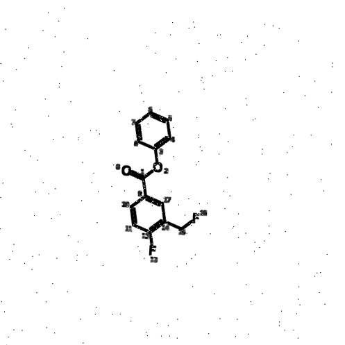 O=C(Oc1ccccc1)c1ccc(F)c(CF)c1